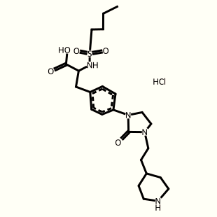 CCCCS(=O)(=O)NC(Cc1ccc(N2CCN(CCC3CCNCC3)C2=O)cc1)C(=O)O.Cl